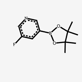 CC1(C)OB(c2cn[c]c(F)c2)OC1(C)C